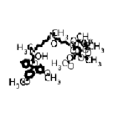 COc1ccc(C(OC[C@@H](O)CN(C)CCCCCCN(C)C(=O)CCCCOC2OC(COC(C)=O)C(OC(C)=O)C(OC(C)=O)C2NC(C)=O)(c2ccccc2)c2ccc(OC)cc2)cc1